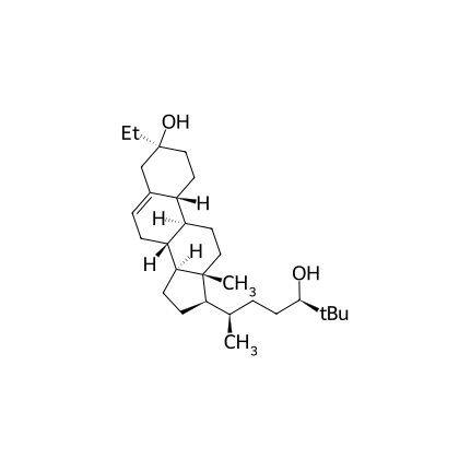 CC[C@]1(O)CC[C@H]2C(=CC[C@@H]3[C@@H]2CC[C@]2(C)[C@@H]([C@H](C)CC[C@@H](O)C(C)(C)C)CC[C@@H]32)C1